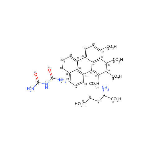 NC(=O)NC(N)=O.NC(CCC(=O)O)C(=O)O.O=C(O)c1c(C(=O)O)c2c(C(=O)O)ccc3c4cccc5cccc(c(c1C(=O)O)c23)c54